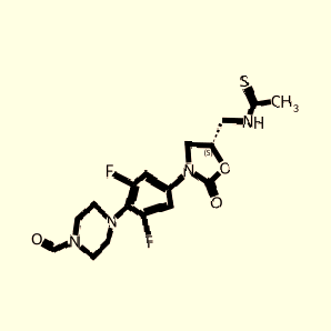 CC(=S)NC[C@H]1CN(c2cc(F)c(N3CCN(C=O)CC3)c(F)c2)C(=O)O1